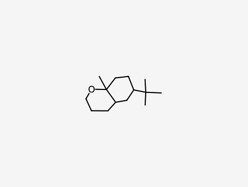 CC(C)(C)C1CCC2(C)OCCCC2C1